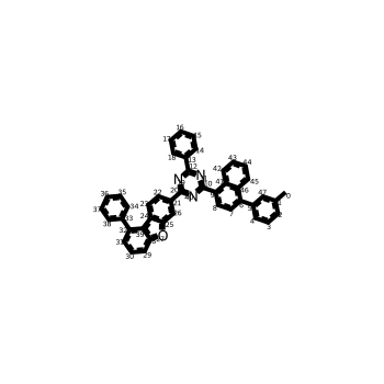 Cc1cccc(-c2ccc(-c3nc(-c4ccccc4)nc(-c4ccc5c(c4)oc4cccc(-c6ccccc6)c45)n3)c3ccccc23)c1